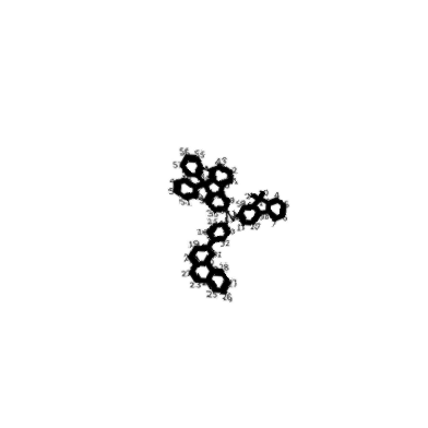 CC1(C)c2ccccc2-c2ccc(N(c3ccc(-c4ccc5ccc6ccccc6c5c4)cc3)c3ccc4c(c3)-c3ccccc3C4(c3ccccc3)c3ccccc3)cc21